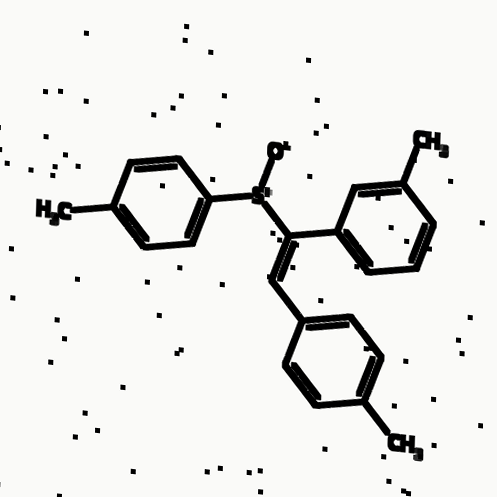 Cc1ccc(/C=C(\c2cccc(C)c2)[S+]([O-])c2ccc(C)cc2)cc1